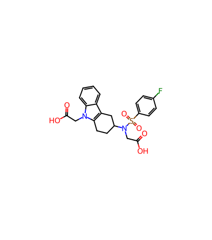 O=C(O)CN(C1CCc2c(c3ccccc3n2CC(=O)O)C1)S(=O)(=O)c1ccc(F)cc1